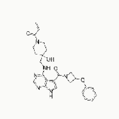 C=CC(=O)N1CCC(O)(CNc2ncnc3[nH]cc(C(=O)N4CC(Oc5ccccc5)C4)c23)CC1